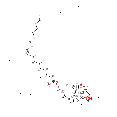 CCCCCCCC/C=C\CCCCCCCC(=O)OCC1=CC[C@@]2(C)C[C@H](O)[C@@](O)(C(C)C)[C@@H]2CC1